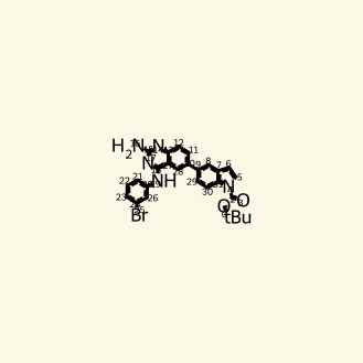 CC(C)(C)OC(=O)n1ccc2cc(-c3ccc4nc(N)nc(Nc5cccc(Br)c5)c4c3)ccc21